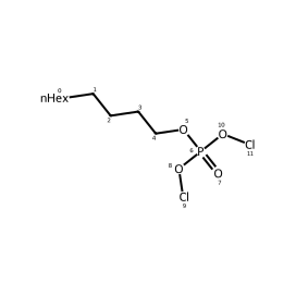 CCCCCCCCCCOP(=O)(OCl)OCl